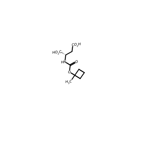 CC1(OC(=O)N[C@@H](CC(=O)O)C(=O)O)CCC1